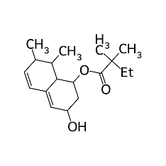 CCC(C)(C)C(=O)OC1CC(O)C=C2C=CC(C)C(C)C21